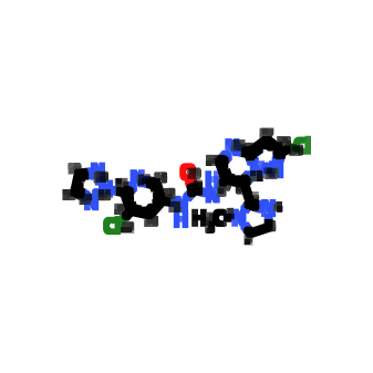 CN1CCN=C1c1c(NC(=O)Nc2cnc(-n3nccn3)c(Cl)c2)cnc2cc(Cl)nn12